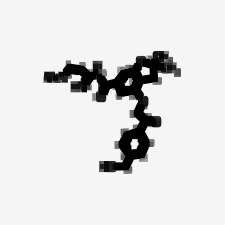 CN/C=C\C(=N)NC(=O)c1cc(OCC(=O)c2ccc(CO)cc2)c2c(c1)OC(C)(C)C2